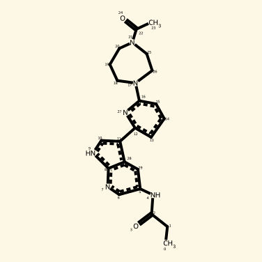 CCC(=O)Nc1cnc2[nH]cc(-c3cccc(N4CCCN(C(C)=O)CC4)n3)c2c1